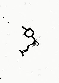 CC(C)=CC[C@@H]1O[C@]1(C)C1CC=C(C)CC1